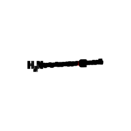 CC(C)CCCCCCCCCCCCCCCCCCCCCCCCCCCCCCCCCCCN